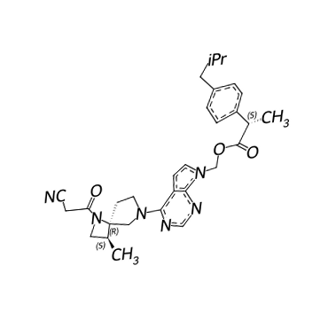 CC(C)Cc1ccc([C@H](C)C(=O)OCn2ccc3c(N4CC[C@]5(C4)[C@@H](C)CN5C(=O)CC#N)ncnc32)cc1